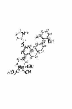 CN1CCC[C@H]1COc1nc2c(c(N3CCN(C(=O)O)[C@@](CC#N)(C(C)(C)C)C3)n1)CCc1ccc(-c3c(O)cccc3F)cc1-2